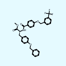 COC(=O)[C@H](Cc1ccc(OCc2ccccc2)cc1)NC(=O)c1ccc(OCc2cccc(C(F)(F)F)c2)cc1